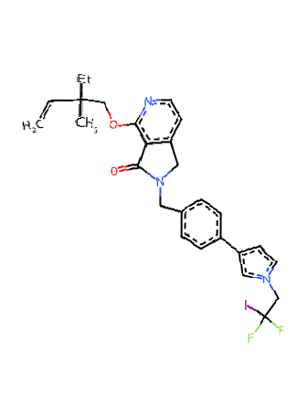 C=CC(C)(CC)COc1nccc2c1C(=O)N(Cc1ccc(-c3ccn(CC(F)(F)I)c3)cc1)C2